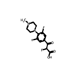 CN1CCN(c2c(F)cc(C(=O)C(F)C(=O)O)cc2F)CC1